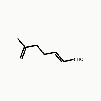 C=C(C)CC/C=C/C=O